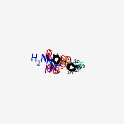 NC(=O)Nc1ccc(OS(=O)(=O)c2cccc(C(F)(F)F)c2)cc1[N+](=O)[O-]